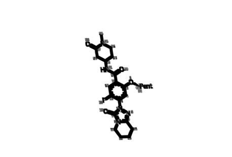 CCC[C@H](C)Oc1cc(-n2nc3n(c2=O)CCCC3)c(F)cc1C(=O)NC1CCN(C)C(=O)C1